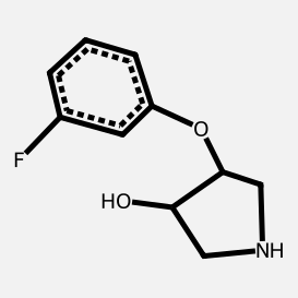 OC1CNCC1Oc1cccc(F)c1